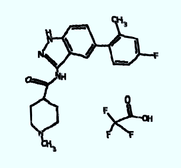 Cc1cc(F)ccc1-c1ccc2[nH]nc(NC(=O)C3CCN(C)CC3)c2c1.O=C(O)C(F)(F)F